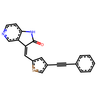 O=C1Nc2ccncc2C1=Cc1cc(C#Cc2ccccc2)cs1